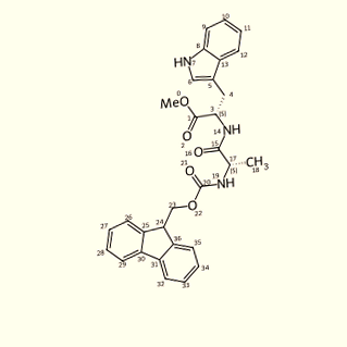 COC(=O)[C@H](Cc1c[nH]c2ccccc12)NC(=O)[C@H](C)NC(=O)OCC1c2ccccc2-c2ccccc21